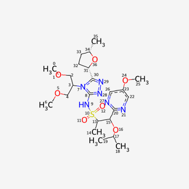 COCC(COC)n1c(NS(=O)(=O)C(C)C(OC(C)C)c2ncc(OC)cn2)nnc1[C@@H]1CC[C@H](C)O1